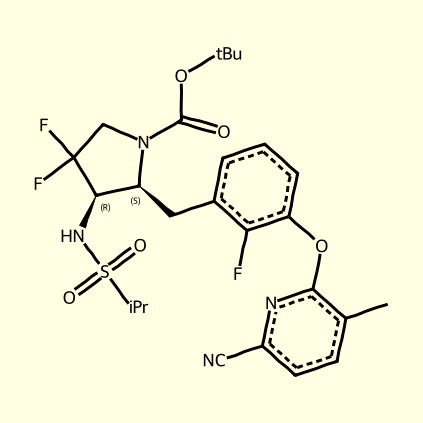 Cc1ccc(C#N)nc1Oc1cccc(C[C@H]2[C@@H](NS(=O)(=O)C(C)C)C(F)(F)CN2C(=O)OC(C)(C)C)c1F